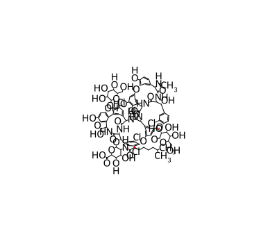 CNC1C(=O)NC2C(=O)NC(C(=O)NC3C(=O)NC4C(=O)NC(C(=O)NC(C(=O)O)c5cc(O)cc(O)c5-c5cc4cc(Cl)c5OC4OC(CO)C(O)C(O)C4O)C(OC4OC(C(=O)O)C(O)C(O)C4NC(=O)CCCCCC(C)C)c4cc(Cl)c(c(Cl)c4)Oc4cc3cc(c4OC3OC(CO)C(O)C(O)C3O)Oc3ccc(cc3Cl)C2O)c2cc(cc(O)c2Cl)Oc2cc1ccc2O